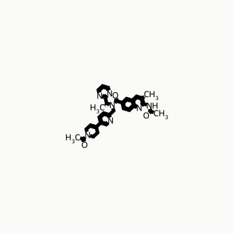 CC(=O)Nc1nc2ccc(C(=O)N(Cc3ccc(C4=CCN(C(C)=O)CC4)cn3)[C@H](C)c3ncccn3)cc2cc1C